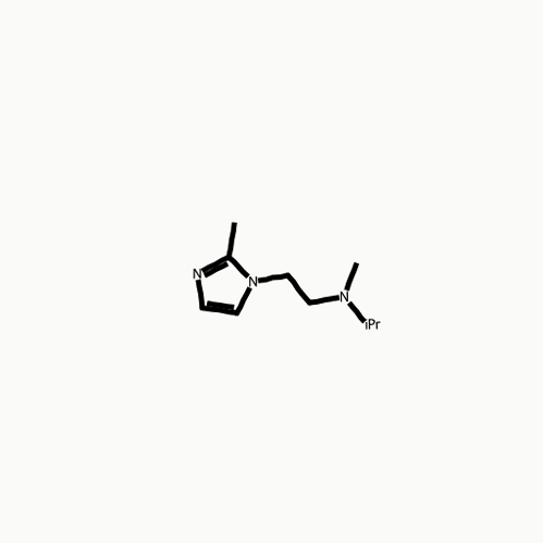 Cc1nccn1CCN(C)C(C)C